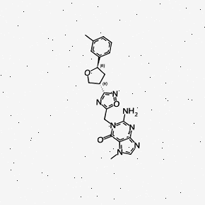 Cc1cccc([C@H]2C[C@H](c3noc(Cn4c(N)nc5ncn(C)c5c4=O)n3)CO2)c1